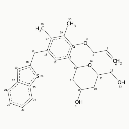 C=CCOc1c(C2CC(O)CC(CO)O2)cc(Cc2cc3ccccc3s2)c(C)c1C